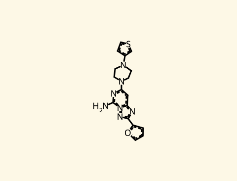 Nc1nc(N2CCN(c3ccsc3)CC2)cc2nc(-c3ccco3)nn12